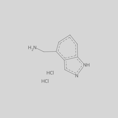 Cl.Cl.NCc1cccc2[nH]ncc12